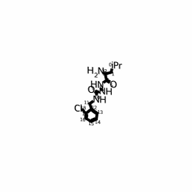 CC(C)C[C@@H](N)C(=O)NNC(=O)NCc1ccccc1Cl